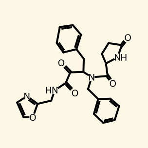 O=C1CCC(C(=O)N(Cc2ccccc2)C(Cc2ccccc2)C(=O)C(=O)NCc2ncco2)N1